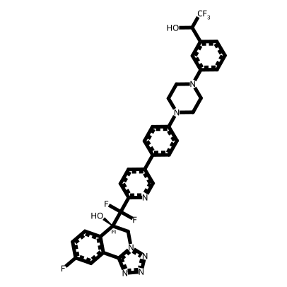 OC(c1cccc(N2CCN(c3ccc(-c4ccc(C(F)(F)[C@]5(O)Cn6nnnc6-c6cc(F)ccc65)nc4)cc3)CC2)c1)C(F)(F)F